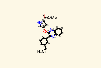 C=Cc1cccc(-c2nc3ccccc3nc2O[C@H]2CN[C@H](C(=O)OC)C2)c1